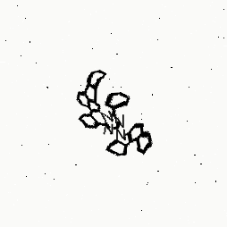 c1ccc(-c2nc(-c3ccccc3-c3ccc4c5c(cccc35)-c3ccccc3-4)nc(-n3c4ccccc4c4c5ccccc5ccc43)n2)cc1